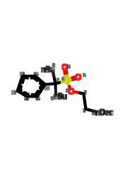 CCCCCCCCCCCCOS(=O)(=O)C(CCCC)(CCCC)c1ccccc1